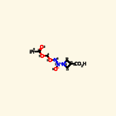 CC(C)C(=O)OCON=[N+]([O-])N1CC(C(=O)O)C1